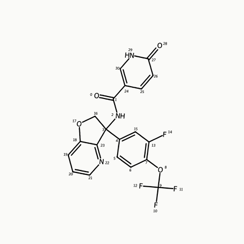 O=C(NC1(c2ccc(OC(F)(F)F)c(F)c2)COc2cccnc21)c1ccc(=O)[nH]c1